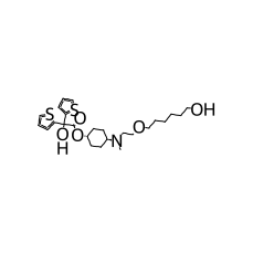 CN(CCOCCCCCCO)[C@H]1CC[C@H](OC(=O)C(O)(c2cccs2)c2cccs2)CC1